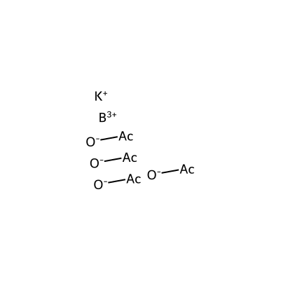 CC(=O)[O-].CC(=O)[O-].CC(=O)[O-].CC(=O)[O-].[B+3].[K+]